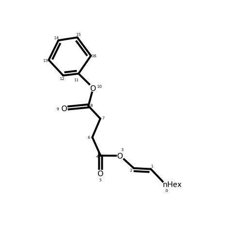 CCCCCCC=COC(=O)CCC(=O)Oc1ccccc1